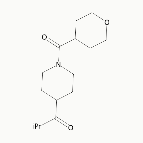 CC(C)C(=O)C1CCN(C(=O)C2CCOCC2)CC1